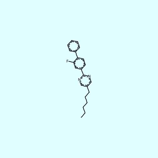 CCCCCCc1cnc(-c2ccc(-c3ccccc3)c(F)c2)nc1